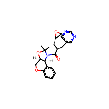 CC1(C)O[C@@H]2COc3ccccc3[C@@H]2N1C(=O)[C@H](Cc1cncnc1)C[C@H]1CO1